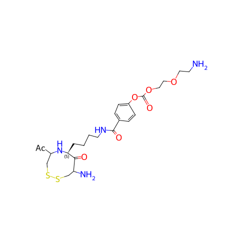 CC(=O)C1CSSCC(N)C(=O)[C@H](CCCCNC(=O)c2ccc(OC(=O)OCCOCCN)cc2)N1